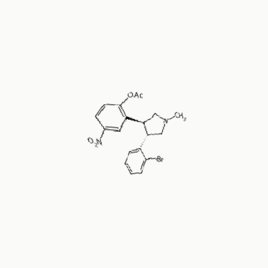 CC(=O)Oc1ccc([N+](=O)[O-])cc1[C@H]1CN(C)C[C@@H]1c1ccccc1Br